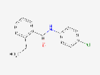 O=C(O)Cc1ccccc1C(=O)Nc1ccc(Cl)cc1